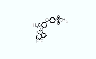 Cc1cc(Oc2ccc(S(C)(=O)=O)cc2)ccc1-n1cnc2c(C(F)(F)F)cccc21